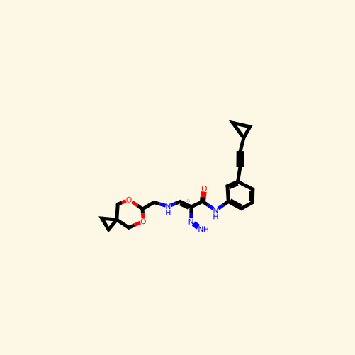 N=N/C(=C\NCC1OCC2(CC2)CO1)C(=O)Nc1cccc(C#CC2CC2)c1